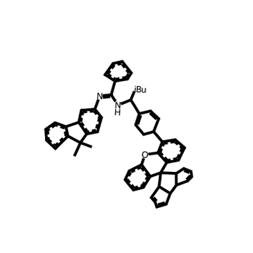 CCC(C)C(N/C(=N\c1ccc2c(c1)-c1ccccc1C2(C)C)c1ccccc1)C1=CCC(c2cccc3c2Oc2ccccc2C32C3C=CC=CC3C3C=CC=CC32)C=C1